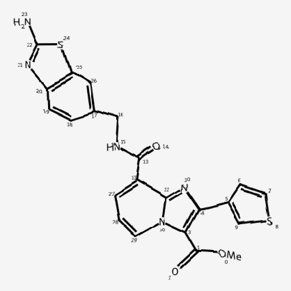 COC(=O)c1c(-c2ccsc2)nc2c(C(=O)NCc3ccc4nc(N)sc4c3)cccn12